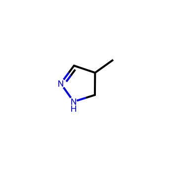 CC1C=NNC1